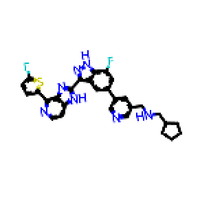 Fc1ccc(-c2nccc3[nH]c(-c4n[nH]c5c(F)cc(-c6cncc(CNCC7CCCC7)c6)cc45)nc23)s1